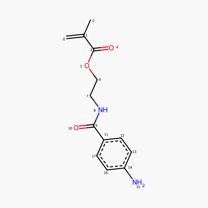 C=C(C)C(=O)OCCNC(=O)c1ccc(N)cc1